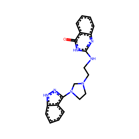 O=c1[nH]c(NCCN2CCN(c3n[nH]c4ccccc34)C2)nc2ccccc12